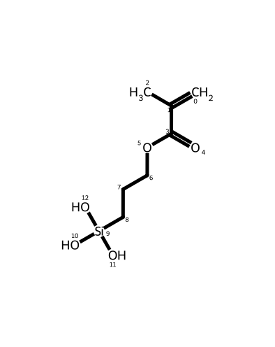 C=C(C)C(=O)OCCC[Si](O)(O)O